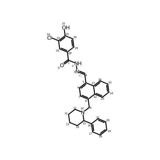 O=C(N/N=C/c1ccc(CN2CCCCC2c2ccccc2)c2ccccc12)c1ccc(O)c(Cl)c1